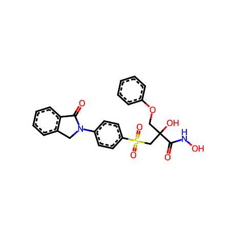 O=C1c2ccccc2CN1c1ccc(S(=O)(=O)CC(O)(COc2ccccc2)C(=O)NO)cc1